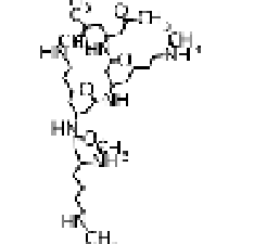 CNCCCCC(CC(=O)NC(CCCCNC)CC(=O)NC(CCCCNC)CC(=O)NC(CC(C)=O)CC(C)=O)NC